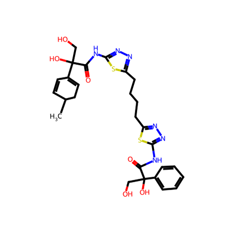 CC1C=CC(C(O)(CO)C(=O)Nc2nnc(CCCCc3nnc(NC(=O)C(O)(CO)c4ccccc4)s3)s2)=CC1